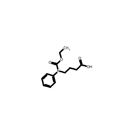 CCOC(=O)N(CCCC(=O)O)c1ccccc1